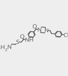 NCCSCC(=O)Nc1ccc(C(=O)N2CCN(CCc3ccc(Cl)cc3)CC2)cc1